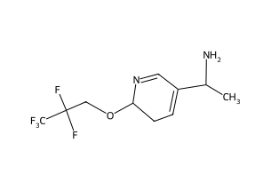 CC(N)C1=CCC(OCC(F)(F)C(F)(F)F)N=C1